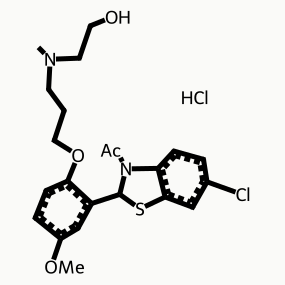 COc1ccc(OCCCN(C)CCO)c(C2Sc3cc(Cl)ccc3N2C(C)=O)c1.Cl